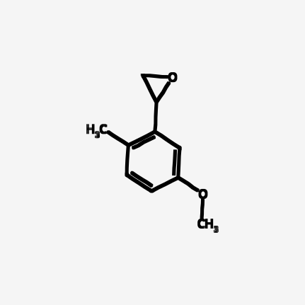 COc1ccc(C)c(C2CO2)c1